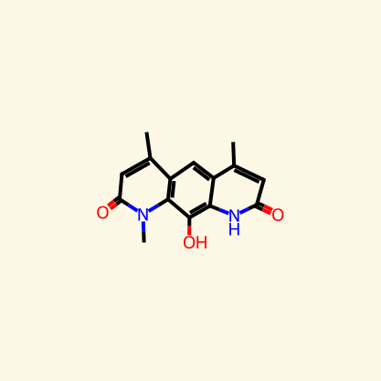 Cc1cc(=O)[nH]c2c(O)c3c(cc12)c(C)cc(=O)n3C